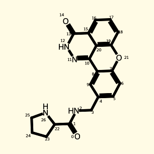 O=C(NCc1ccc2c(c1)-c1n[nH]c(=O)c3cccc(c13)O2)C1CCCN1